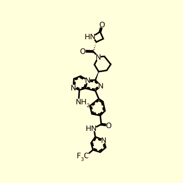 Nc1nccn2c([C@@H]3CCCN(C(=O)[C@H]4CC(=O)N4)C3)nc(-c3ccc(C(=O)Nc4cc(C(F)(F)F)ccn4)cc3)c12